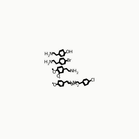 COc1ccc(CCN)cc1.COc1ccc(CCN)cc1OC.NCCc1ccc(Br)cc1.NCCc1ccc(Cl)cc1.NCCc1ccc(O)cc1